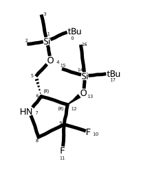 CC(C)(C)[Si](C)(C)OC[C@H]1NCC(F)(F)[C@@H]1O[Si](C)(C)C(C)(C)C